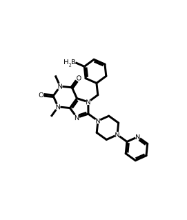 BC1=CC(Cn2c(N3CCN(c4ccccn4)CC3)nc3c2c(=O)n(C)c(=O)n3C)CC=C1